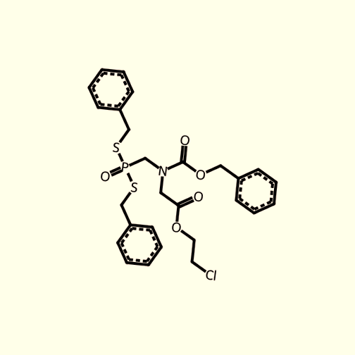 O=C(CN(CP(=O)(SCc1ccccc1)SCc1ccccc1)C(=O)OCc1ccccc1)OCCCl